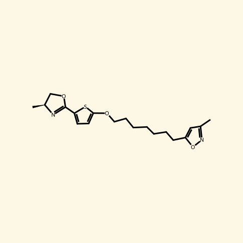 Cc1cc(CCCCCCCOc2ccc(C3=N[C@@H](C)CO3)s2)on1